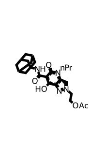 CCCn1c(=O)c(C(=O)NC23CC4CC(CC(C4)C2)C3)c(O)c2nn(CCOC(C)=O)cc21